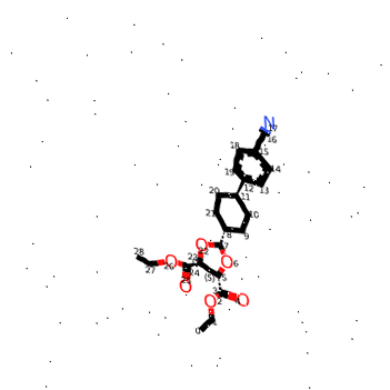 CCOC(=O)[C@H]1OC([C@H]2CC[C@H](c3ccc(C#N)cc3)CC2)O[C@@H]1C(=O)OCC